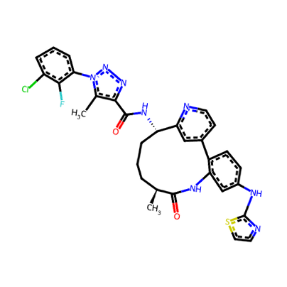 Cc1c(C(=O)N[C@H]2CCC[C@H](C)C(=O)Nc3cc(Nc4nccs4)ccc3-c3ccnc2c3)nnn1-c1cccc(Cl)c1F